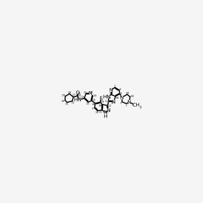 CN1CCN(c2ccnc3[nH]c(-c4n[nH]c5ccc(-c6cncc(NC(=O)C7CCCCC7)c6)c(F)c45)nc23)CC1